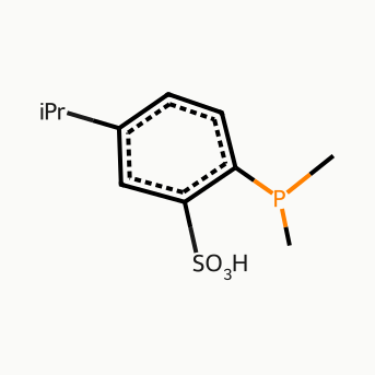 CC(C)c1ccc(P(C)C)c(S(=O)(=O)O)c1